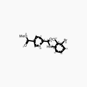 COC(=O)c1ccc(C(=O)Nc2cccc(Br)c2Cl)nc1